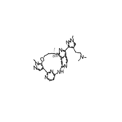 C[C@H]1CCOc2c(cnn2C)-c2nccc(n2)Nc2cc3c(cn2)c(-c2nn(C)cc2CCN(C)C)nn31